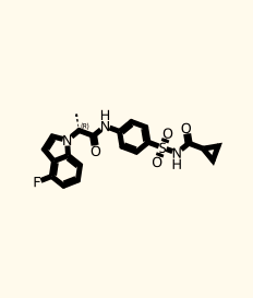 C[C@H](C(=O)Nc1ccc(S(=O)(=O)NC(=O)C2CC2)cc1)n1ccc2c(F)cccc21